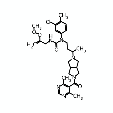 C=C(CNC(=O)N(CCC(C)N1CC2CN(C(=O)c3c(C)ncnc3C)CC2C1)c1ccc(C)c(Cl)c1)OOC